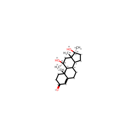 CC12CCC(=O)C=C1CCC1C3CC[C@](C)(O)C3(C)C[C@](C)(O)C12